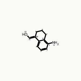 Nc1cccc2c1CCC/C2=C\O